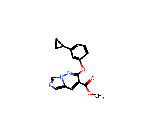 COC(=O)c1cc2cncn2nc1Oc1cccc(C2CC2)c1